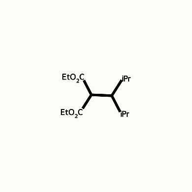 CCOC(=O)C(C(=O)OCC)C(C(C)C)C(C)C